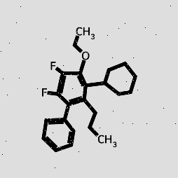 CCCc1c(-c2ccccc2)c(F)c(F)c(OCC)c1C1CCCCC1